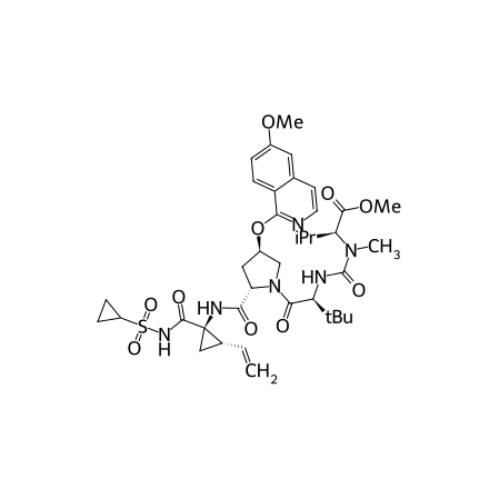 C=C[C@@H]1C[C@]1(NC(=O)[C@@H]1C[C@@H](Oc2nccc3cc(OC)ccc23)CN1C(=O)[C@@H](NC(=O)N(C)[C@H](C(=O)OC)C(C)C)C(C)(C)C)C(=O)NS(=O)(=O)C1CC1